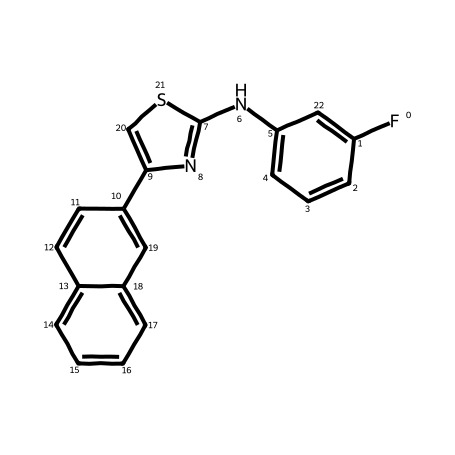 Fc1cccc(Nc2nc(-c3ccc4ccccc4c3)cs2)c1